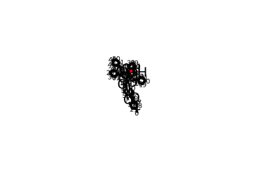 Cc1ccc(S(=O)(=O)N2CCN(C(=O)C(OCc3ccccc3)C(OCc3ccccc3)C(OCc3ccccc3)C(O)(COCc3ccccc3)C(C)O)CC2)cc1